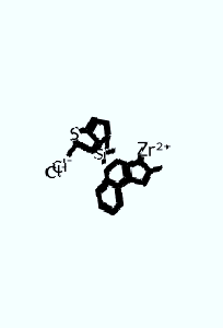 CC1=C2C3C(=CC=C3[Si]2(C)C)S1.CC1=Cc2c(ccc3ccccc23)[CH]1[Zr+2].[Cl-].[Cl-]